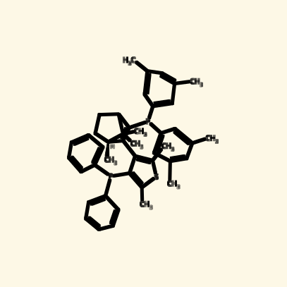 Cc1cc(C)cc(P(C2=C(c3c(C)sc(C)c3P(c3ccccc3)c3ccccc3)[C@]3(C)CCC2C3(C)C)c2cc(C)cc(C)c2)c1